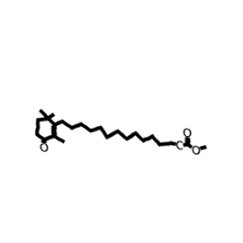 COC(=O)CCCCCCCCCCCCCCC1=C(C)C(=O)CCC1(C)C